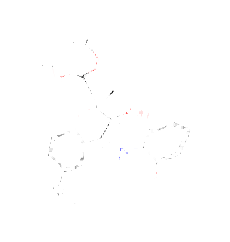 CCOC(OCC)[C@@]1(C)Oc2ccc([N+](=O)[O-])cc2[C@@H](Nc2ccccc2O)[C@@H]1O